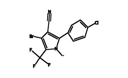 [CH2]n1c(-c2ccc(Cl)cc2)c(C#N)c(Br)c1C(F)(F)F